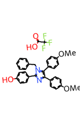 COc1ccc(-c2nc(-c3ccc(O)cc3)n(Cc3ccccc3)c2-c2ccc(OC)cc2)cc1.O=C(O)C(F)(F)F